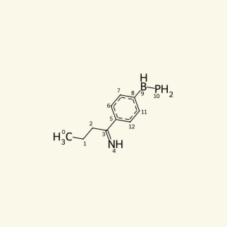 CCCC(=N)c1ccc(BP)cc1